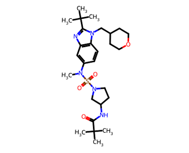 CN(c1ccc2c(c1)nc(C(C)(C)C)n2CC1CCOCC1)S(=O)(=O)N1CCC(NC(=O)C(C)(C)C)C1